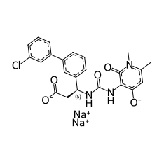 Cc1cc([O-])c(NC(=O)N[C@@H](CC(=O)[O-])c2cccc(-c3cccc(Cl)c3)c2)c(=O)n1C.[Na+].[Na+]